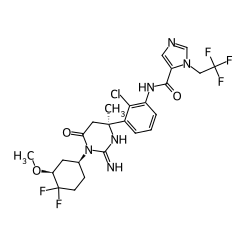 CO[C@H]1C[C@@H](N2C(=N)N[C@](C)(c3cccc(NC(=O)c4cncn4CC(F)(F)F)c3Cl)CC2=O)CCC1(F)F